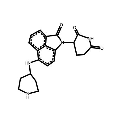 O=C1CCC(N2C(=O)c3cccc4c(NC5CCNCC5)ccc2c34)C(=O)N1